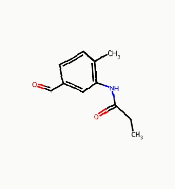 CCC(=O)Nc1cc([C]=O)ccc1C